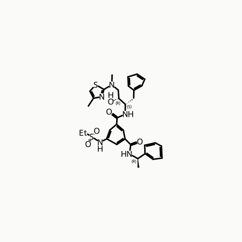 CCS(=O)(=O)Nc1cc(C(=O)N[C@@H](Cc2ccccc2)[C@H](O)CN(C)c2nc(C)cs2)cc(C(=O)N[C@H](C)c2ccccc2)c1